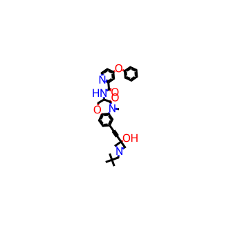 CN1C(=O)C(NC(=O)c2cc(Oc3ccccc3)ccn2)COc2ccc(C#CC3(O)CN(CC(C)(C)C)C3)cc21